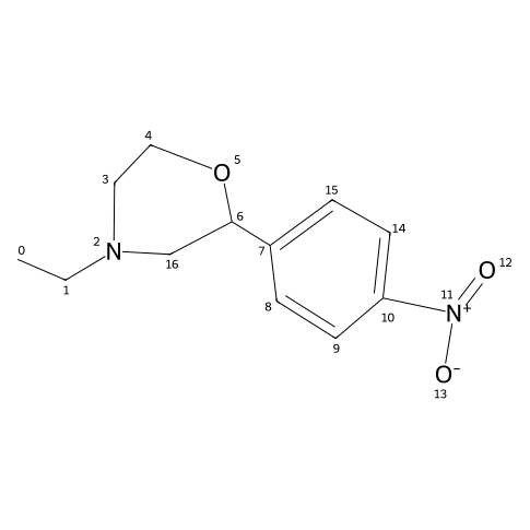 CCN1CCOC(c2ccc([N+](=O)[O-])cc2)C1